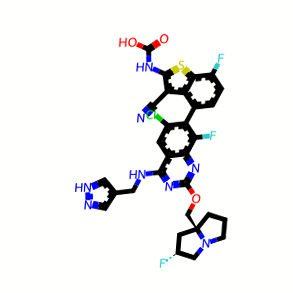 N#Cc1c(NC(=O)O)sc2c(F)ccc(-c3c(Cl)cc4c(NCc5cn[nH]c5)nc(OC[C@@]56CCCN5C[C@H](F)C6)nc4c3F)c12